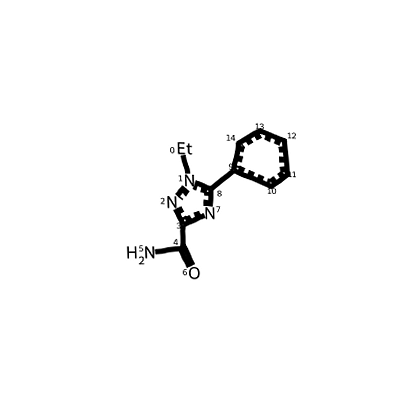 CCn1nc(C(N)=O)nc1-c1ccccc1